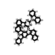 c1ccc2c(c1)ccc1c2c2cc3c4ccccc4n4c5ccccc5c(c2n1-c1nc(-n2c5ccccc5c5ccccc52)nc2c1sc1ccccc12)c34